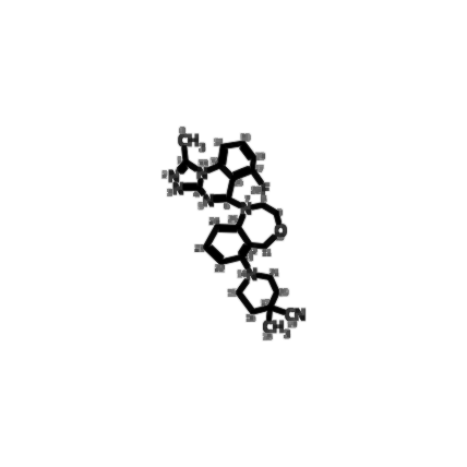 Cc1nnc2nc(N3CCOCc4c(N5CCC(C)(C#N)CC5)cccc43)c3c(F)cccc3n12